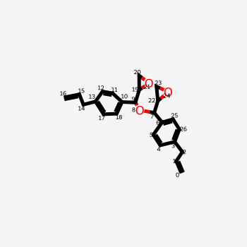 C=CCc1ccc(C(OC(c2ccc(CC=C)cc2)C2CO2)C2CO2)cc1